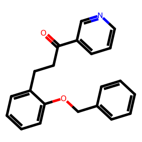 O=C(CCc1ccccc1OCc1ccccc1)c1cccnc1